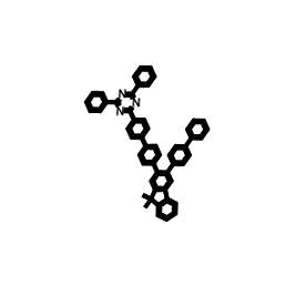 CC1(C)c2ccccc2-c2cc(-c3ccc(-c4ccccc4)cc3)c(-c3ccc(-c4ccc(-c5nc(-c6ccccc6)nc(-c6ccccc6)n5)cc4)cc3)cc21